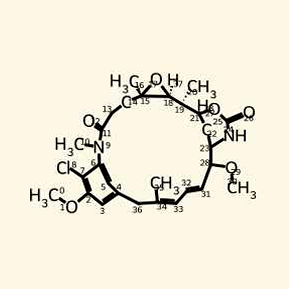 COc1cc2cc(c1Cl)N(C)C(=O)CC[C@]1(C)O[C@H]1[C@H](C)[C@@H]1CC(NC(=O)O1)C(OC)/C=C/C=C(\C)C2